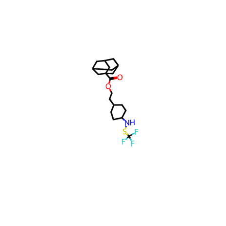 O=C(OCCC1CCC(NSC(F)(F)F)CC1)C12CC3CC(CC(C3)C1)C2